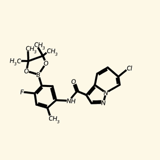 Cc1cc(F)c(B2OC(C)(C)C(C)(C)O2)cc1NC(=O)c1cnn2cc(Cl)ccc12